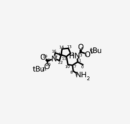 CC(NC(=O)OC(C)(C)C)C(CN)CC1CCCC12CN(C(=O)OC(C)(C)C)C2